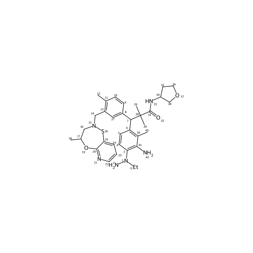 CCN(N)c1ccc(C(c2ccc(C)c(CN3CC(C)Oc4ncccc4S3)c2)C(C)(C)C(=O)NC2CCOC2)c(C)c1N